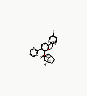 O=C(c1cc(C(F)(F)F)ccc1-c1ncccn1)N1C2CC[C@H]1CC[C@@H]2COc1ccc(F)cn1